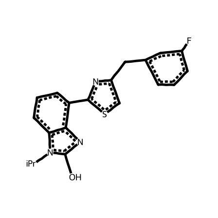 CC(C)n1c(O)nc2c(-c3nc(Cc4cccc(F)c4)cs3)cccc21